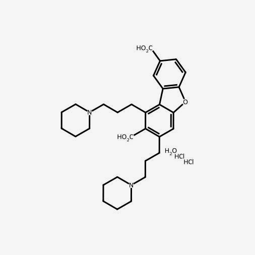 Cl.Cl.O.O=C(O)c1ccc2oc3cc(CCCN4CCCCC4)c(C(=O)O)c(CCCN4CCCCC4)c3c2c1